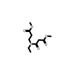 CCN(CCC(=O)OC)C(=O)CC(=O)OC